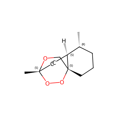 C[C@@H]1CCC[C@@]23CO[C@](C)(CC[C@@H]12)OO3